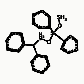 [SiH3]O[Si](O[SiH2]C(c1ccccc1)c1ccccc1)(c1ccccc1)c1ccccc1